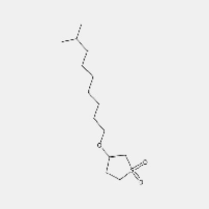 CC(C)CCCCCCCOC1CCS(=O)(=O)C1